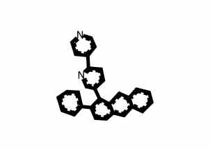 c1ccc(-c2ccc3cc4ccccc4cc3c2-c2ccc(-c3ccncc3)nc2)cc1